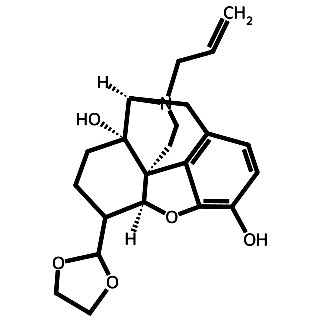 C=CCN1CC[C@]23c4c5ccc(O)c4O[C@H]2C(C2OCCO2)CC[C@@]3(O)[C@H]1C5